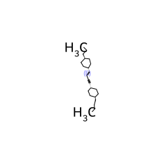 CCCC[C@H]1CC[C@H](C#C/C=C/[C@H]2CC[C@H](CCC)CC2)CC1